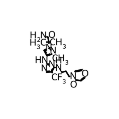 Cc1nn(C(C)(C)C(N)=O)cc1Nc1ncc(C(F)(F)F)c(NCCCN2C=COC=CC2=O)n1